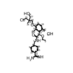 CCOC(C(=O)NCc1ccc(C(=N)N)cc1)c1c(F)ccc(OCC(C)(CO)CCl)c1F.Cl